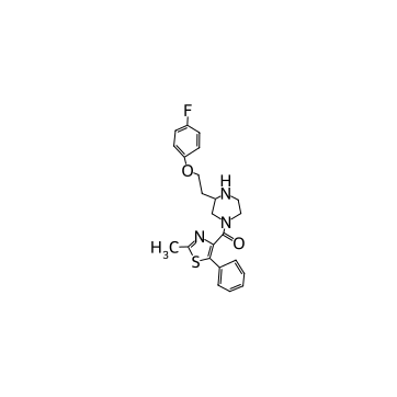 Cc1nc(C(=O)N2CCNC(CCOc3ccc(F)cc3)C2)c(-c2ccccc2)s1